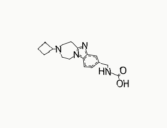 O=C(O)NCc1ccc2c(c1)nc1n2CCN(C2CCC2)CC1